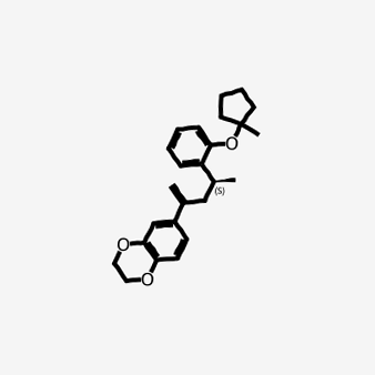 C=C(C[C@H](C)c1ccccc1OC1(C)CCCC1)c1ccc2c(c1)OCCO2